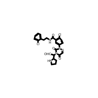 O=CC(C1CCCN1)n1c(=O)cnn(-c2ccc(Cl)c(C(=O)NCCc3ccccc3Cl)c2)c1=O